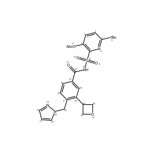 COc1ccc(C(C)(C)C)nc1S(=O)(=O)NC(=O)c1ccc(Cn2cccn2)c(C2COC2)c1